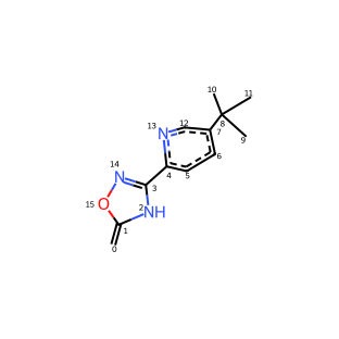 C=C1NC(c2ccc(C(C)(C)C)cn2)=NO1